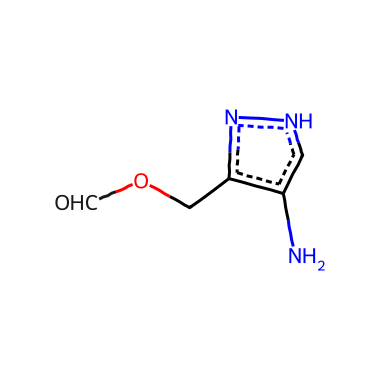 Nc1c[nH]nc1COC=O